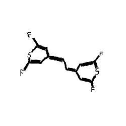 FC1=CC(=CC=C2C=C(F)SC(F)=C2)C=C(F)S1